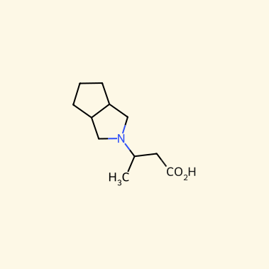 CC(CC(=O)O)N1CC2CCCC2C1